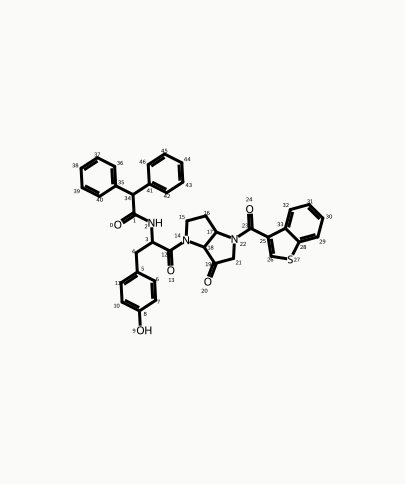 O=C(NC(Cc1ccc(O)cc1)C(=O)N1CCC2C1C(=O)CN2C(=O)c1csc2ccccc12)C(c1ccccc1)c1ccccc1